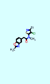 CCc1nsc(N(C)C(=O)Cc2ccc3oc(C)nc3c2)c1Cl